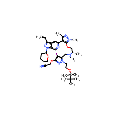 C=Cc1nn(C2CCCCO2)c2cnc(-c3c(C)nn(C)c3OC[C@H](C)N(C)Cc3c(I)c(OCC#N)nn3CCO[Si](C)(C)C(C)(C)C)cc12